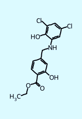 CCOC(=O)c1ccc(CNc2cc(Cl)cc(Cl)c2O)cc1O